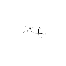 CCCC(C)(OC(C)(CCC)C(C)(C)C)C(C)(C)C